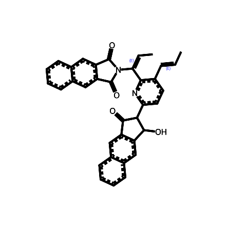 C/C=C/c1ccc(C2C(=O)c3cc4ccccc4cc3C2O)nc1/C(=C\C)N1C(=O)c2cc3ccccc3cc2C1=O